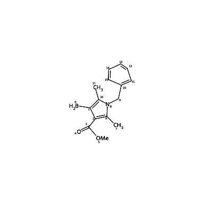 Bc1c(C(=O)OC)c(C)n(Cc2ccccc2)c1C